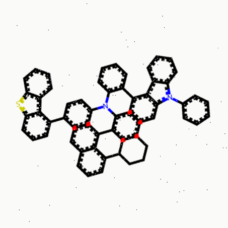 c1ccc(-n2c3ccccc3c3c(-c4ccccc4N(c4ccc(-c5cccc6sc7ccccc7c56)cc4)c4ccccc4-c4cccc5cccc(C6CCCCC6)c45)cccc32)cc1